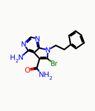 NC(=O)c1c(Br)n(CCc2ccccc2)c2ncnc(N)c12